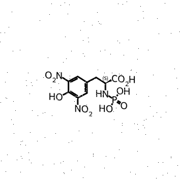 O=C(O)[C@H](Cc1cc([N+](=O)[O-])c(O)c([N+](=O)[O-])c1)NP(=O)(O)O